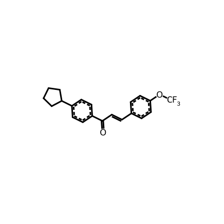 O=C(C=Cc1ccc(OC(F)(F)F)cc1)c1ccc(C2CCCC2)cc1